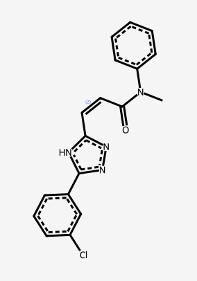 CN(C(=O)/C=C\c1nnc(-c2cccc(Cl)c2)[nH]1)c1ccccc1